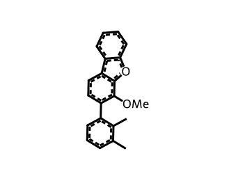 COc1c(-c2cccc(C)c2C)ccc2c1oc1ccccc12